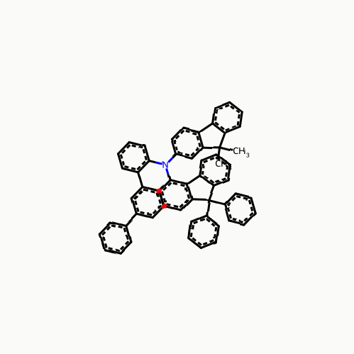 CC1(C)c2ccccc2-c2ccc(N(c3ccccc3-c3cccc(-c4ccccc4)c3)c3cccc4c3-c3ccccc3C4(c3ccccc3)c3ccccc3)cc21